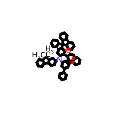 CC1(C)c2ccccc2-c2ccc(N(c3cc(-c4ccccc4)cc(-c4ccccc4)c3)c3ccc(C4(c5ccccc5)c5ccccc5-c5ccccc54)c4oc5ccccc5c34)cc21